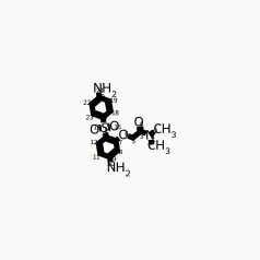 CN(C)C(=O)COc1cc(N)ccc1S(=O)(=O)c1ccc(N)cc1